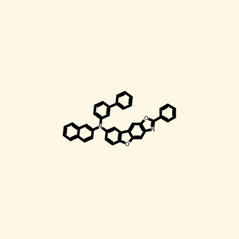 c1ccc(-c2cccc(N(c3ccc4ccccc4c3)c3ccc4oc5cc6nc(-c7ccccc7)oc6cc5c4c3)c2)cc1